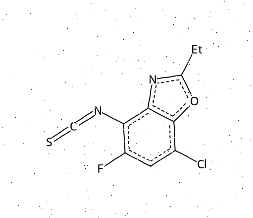 CCc1nc2c(N=C=S)c(F)cc(Cl)c2o1